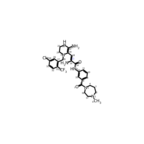 CN1CCCN(C(=O)c2cccc(NC(=O)/C(N)=C/C3=C(N)NCCN3Cc3cc(Cl)ccc3C(F)(F)F)c2)CC1